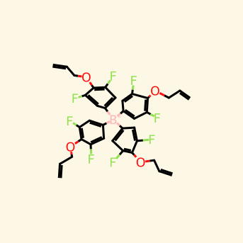 C=CCOc1c(F)cc([B-](c2cc(F)c(OCC=C)c(F)c2)(c2cc(F)c(OCC=C)c(F)c2)c2cc(F)c(OCC=C)c(F)c2)cc1F